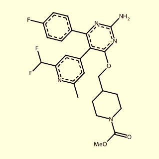 COC(=O)N1CCC(COc2nc(N)nc(-c3ccc(F)cc3)c2-c2cc(C)nc(C(F)F)c2)CC1